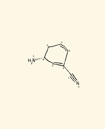 N#CC1=C[C@H](N)CC=C1